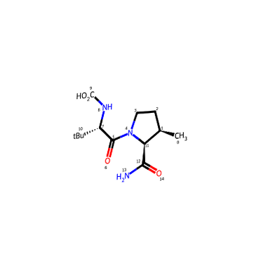 C[C@@H]1CCN(C(=O)[C@@H](NC(=O)O)C(C)(C)C)[C@@H]1C(N)=O